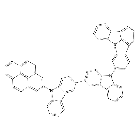 c1cc2ccc3cc(-n4c5ccccc5c5cc(-c6ccc7c(c6)c6ccccc6n7-c6ccc7c8cccc9c%10ccccc%10n(c7c6)c98)ccc54)cc4ccc(c1)c2c34